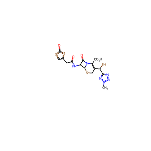 Cn1nnc(C(S)C2=C(C(=O)O)N3C(=O)C(NC(=O)Cc4csc(=O)s4)C3SC2)n1